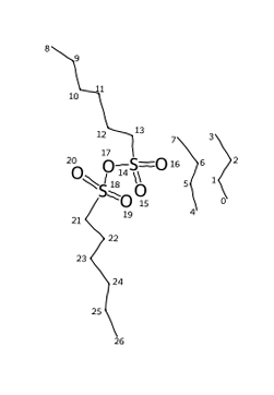 CCCC.CCCC.CCCCCCS(=O)(=O)OS(=O)(=O)CCCCCC